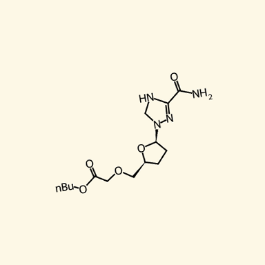 CCCCOC(=O)COC[C@@H]1CC[C@H](N2CNC(C(N)=O)=N2)O1